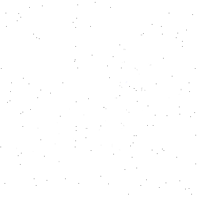 CC(c1cccc(C(=O)c2ccccc2)c1)c1nc(/N=C(\NCCO)N2CCOCC2)n(C)n1.Cl